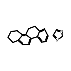 C1=NCN=C1.c1ccc2c(c1)CCc1c-2ccc2c1CCCC2